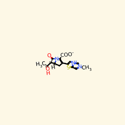 C[C@@H](O)[C@H]1C(=O)N2C(C(=O)[O-])=C(c3c[n+]4cn(C)cc4s3)C[C@H]12